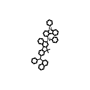 CC1(C)c2cc(C(c3ccccc3)c3cccc4ccccc34)ccc2-c2c1cc(N(c1ccccc1)c1cccc3c1c1ccccc1n3-c1ccccc1)c1ccccc21